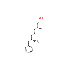 C/C(=C\CO)CC/C=C(\C)Cc1ccccc1